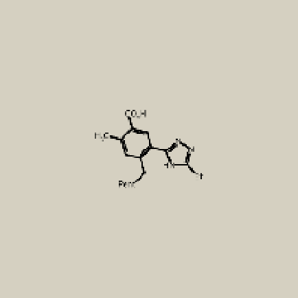 CCCC(C)Cc1cc(C)c(C(=O)O)cc1-c1nnc(CC)[nH]1